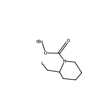 CC(C)(C)OC(=O)N1CCCCC1CI